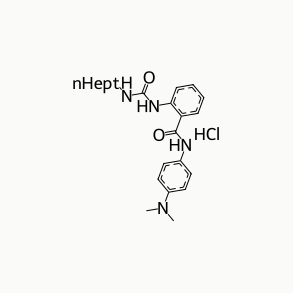 CCCCCCCNC(=O)Nc1ccccc1C(=O)Nc1ccc(N(C)C)cc1.Cl